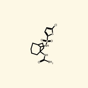 BC(=O)NC12CCCCC(CC1)C2NS(=O)(=O)c1ccc(Cl)s1